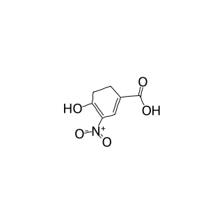 O=C(O)C1=CC([N+](=O)[O-])=C(O)CC1